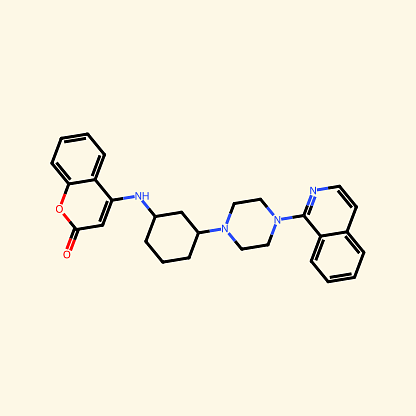 O=c1cc(NC2CCCC(N3CCN(c4nccc5ccccc45)CC3)C2)c2ccccc2o1